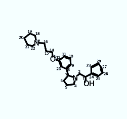 OC(CN1CCCC1c1cccc(OCCCN2CCCCC2)c1)c1ccccc1